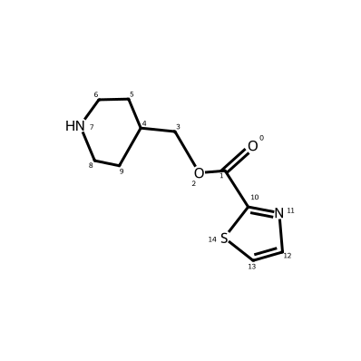 O=C(OCC1CCNCC1)c1nccs1